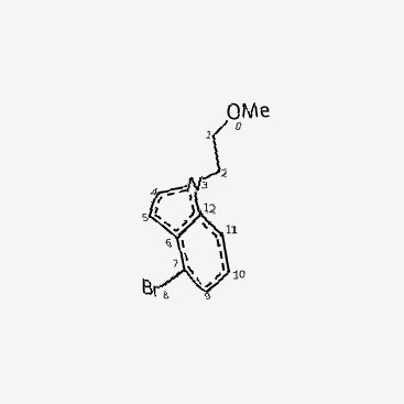 COCCn1ccc2c(Br)cccc21